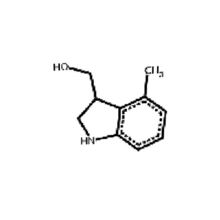 Cc1cccc2c1C(CO)CN2